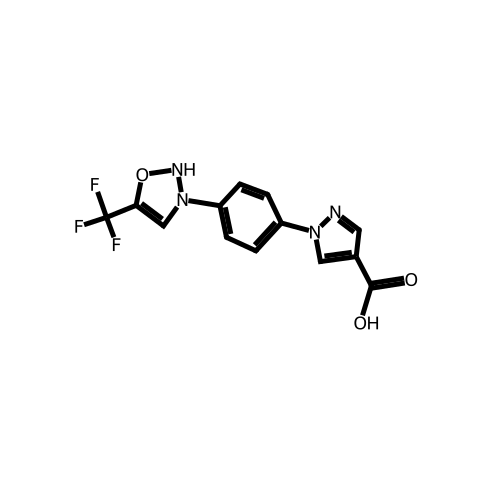 O=C(O)c1cnn(-c2ccc(N3C=C(C(F)(F)F)ON3)cc2)c1